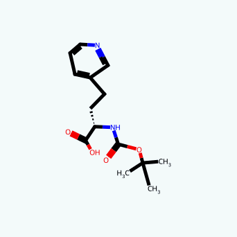 CC(C)(C)OC(=O)N[C@@H](CCc1cccnc1)C(=O)O